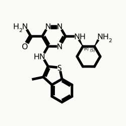 Cc1c(Nc2nc(N[C@@H]3CCCC[C@@H]3N)nnc2C(N)=O)sc2ccccc12